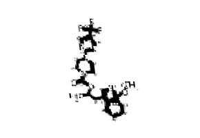 COc1ncc(CC(C)OC(=O)N2CCN(c3ncc(C(F)(F)F)cn3)CC2)c2ccccc12